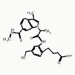 CNC(=O)c1ccc2c(C)cn(C(C)C(=O)Nc3cc(CO)ccc3CCCC(=O)O)c2c1